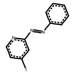 Ic1ccnc(N=Nc2ccccc2)c1